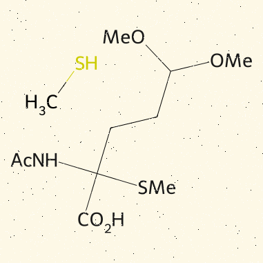 COC(CCC(NC(C)=O)(SC)C(=O)O)OC.CS